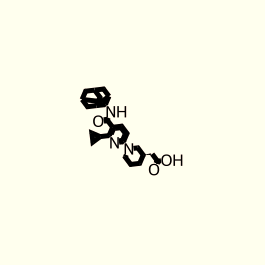 O=C(O)C[C@@H]1CCCN(c2ccc(C(=O)NC3C4CC5CC(C4)CC3C5)c(C3CC3)n2)C1